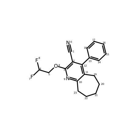 N#Cc1c(OCC(F)F)nc2c(c1-c1ccccc1)CCCCC2